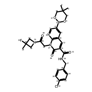 CC1(C)COB(c2cnc3c(c2)cc(C(=O)NCc2ccc(Cl)cc2)c(=O)n3CC(=O)N2CC(C)(F)C2)OC1